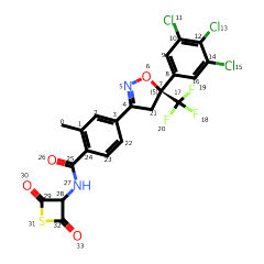 Cc1cc(C2=NO[C@@](c3cc(Cl)c(Cl)c(Cl)c3)(C(F)(F)F)C2)ccc1C(=O)NC1C(=O)SC1=O